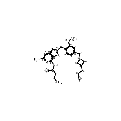 CCCC(N)Nc1nc(N)nc2cn(Cc3ccc(CN4CC(CCO)C4)cc3OC)nc12